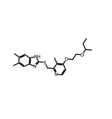 CCC(C)OCCOc1ccnc(CSc2nc3cc(C)c(C)cc3[nH]2)c1C